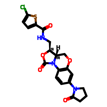 O=C(NC[C@@H]1OC(=O)N2c3ccc(N4CCCC4=O)cc3OC[C@@H]12)c1ccc(Cl)s1